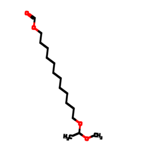 COC(C)OCCCCCCCCCCCCOC=O